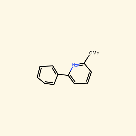 COc1[c]ccc(-c2ccccc2)n1